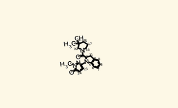 Cn1nc(N2c3ccccc3CC2C(=O)N2CCCC(C)(C)C2)ccc1=O